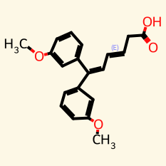 COc1cccc(C(=C/C=C/CC(=O)O)c2cccc(OC)c2)c1